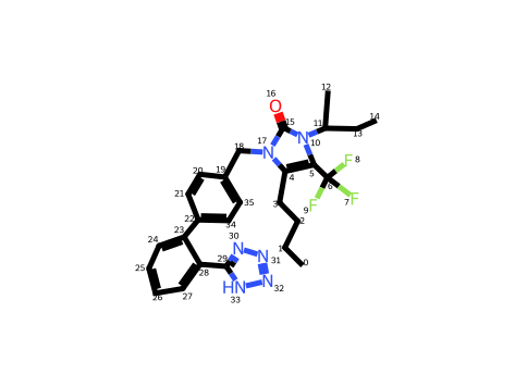 CCCCc1c(C(F)(F)F)n(C(C)CC)c(=O)n1Cc1ccc(-c2ccccc2-c2nnn[nH]2)cc1